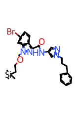 C[Si](C)(C)CCOCn1nc(C(=O)Nc2cnn(CCCc3ccccc3)c2)c2ccc(Br)cc21